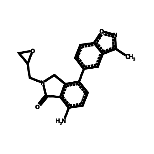 Cc1noc2ccc(-c3ccc(N)c4c3CN(CC3CO3)C4=O)cc12